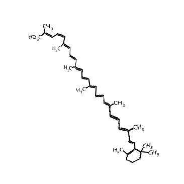 CC1=C(/C=C/C(C)=C/C=C/C(C)=C/C=C/C=C(C)/C=C/C=C(C)/C=C/C=C(C)/C=C\C=C(/C)C(=O)O)C(C)(C)CCC1